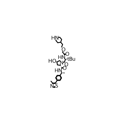 Cc1ncsc1-c1ccc([C@H](C)NC(=O)[C@@H]2C[C@@H](O)CN2C(=O)[C@@H](NC(=O)COCCC2CCNCC2)C(C)(C)C)cc1